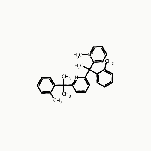 Cc1ccccc1C(C)(C)c1cccc(C(C)(c2ccccc2C)c2cccc[n+]2C)n1